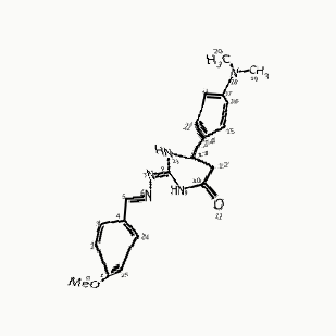 COc1ccc(C=NN=C2NC(=O)CC(c3ccc(N(C)C)cc3)N2)cc1